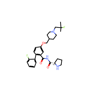 CC(C)(F)CN1CCC(COc2ccc(-c3ccccc3F)c(C(=O)NC(=O)[C@@H]3CCCN3)c2)CC1